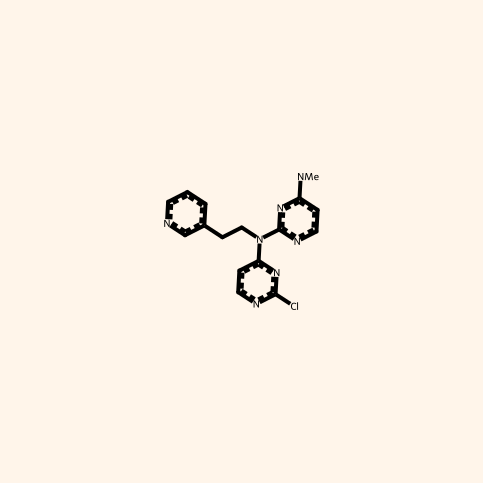 CNc1ccnc(N(CCc2cccnc2)c2ccnc(Cl)n2)n1